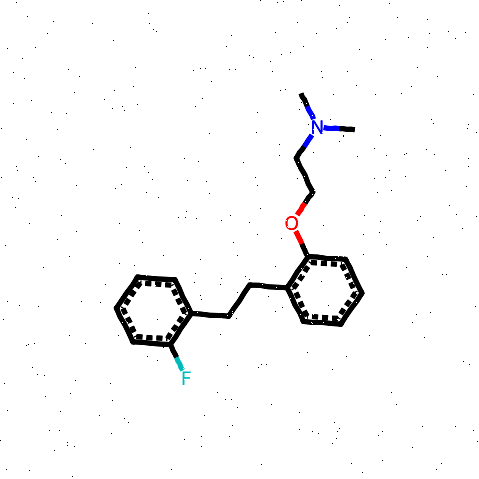 CN(C)CCOc1ccccc1CCc1ccccc1F